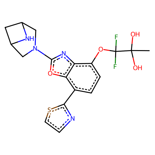 CC(O)(O)C(F)(F)Oc1ccc(-c2nccs2)c2oc(N3CC4CC(C3)N4)nc12